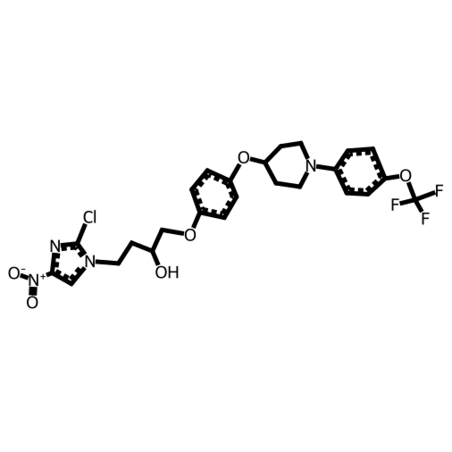 O=[N+]([O-])c1cn(CCC(O)COc2ccc(OC3CCN(c4ccc(OC(F)(F)F)cc4)CC3)cc2)c(Cl)n1